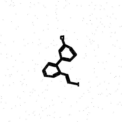 Clc1cccc(-c2ccccc2C=CI)c1